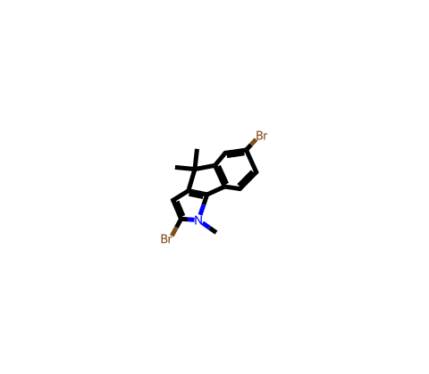 Cn1c(Br)cc2c1-c1ccc(Br)cc1C2(C)C